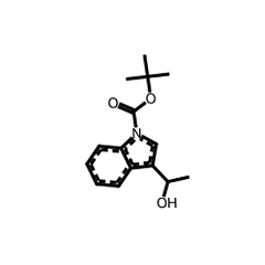 CC(O)c1cn(C(=O)OC(C)(C)C)c2ccccc12